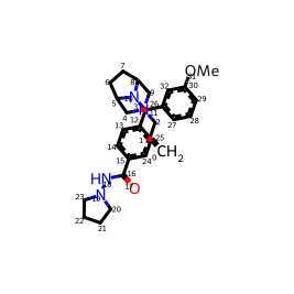 C=CCN1CC2CCC(C1)N2C(c1ccc(C(=O)NN2CCCC2)cc1)c1cccc(OC)c1